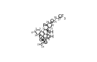 Cc1ccc(C2=C(C(=O)NS(=O)(=O)C3CC3)C(O)NC(c3ccc(OCCCC(F)(F)F)cc3F)=C2)cc1